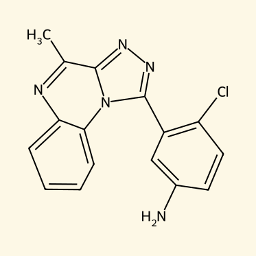 Cc1nc2ccccc2n2c(-c3cc(N)ccc3Cl)nnc12